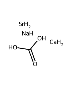 O=C(O)O.[CaH2].[NaH].[SrH2]